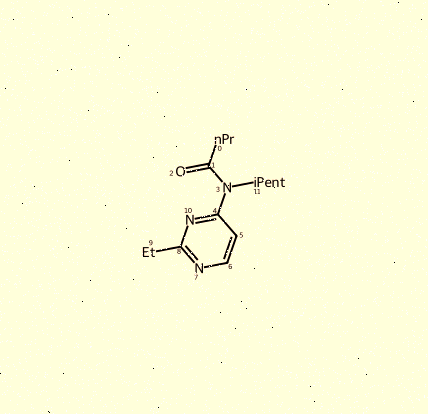 CCCC(=O)N(c1ccnc(CC)n1)C(C)CCC